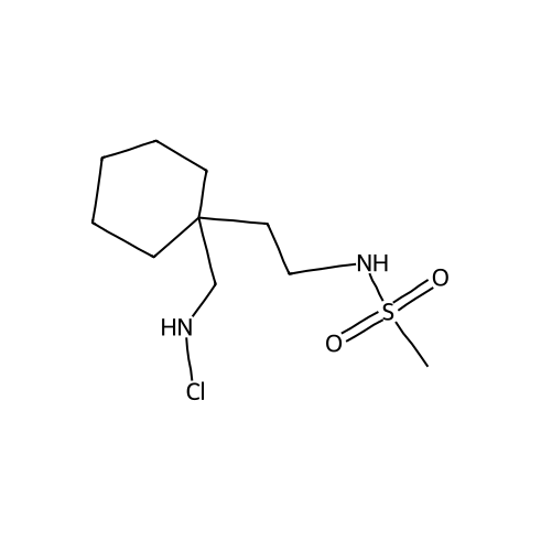 CS(=O)(=O)NCCC1(CNCl)CCCCC1